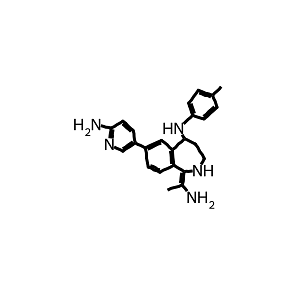 C/C(N)=C1/NCCC(Nc2ccc(C)cc2)c2cc(-c3ccc(N)nc3)ccc21